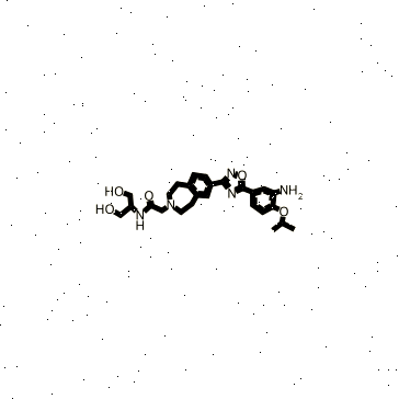 CC(C)Oc1ccc(-c2nc(-c3ccc4c(c3)CCN(CC(=O)NC(CO)CO)CC4)no2)cc1N